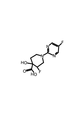 O=C(O)C1(O)CCN(c2ncc(F)cn2)CC1F